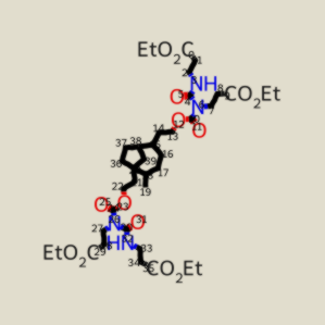 CCOC(=O)CCNC(=O)N(CCC(=O)OCC)C(=O)OCCC1CCC(C)C2(CCOC(=O)N(CCC(=O)OCC)C(=O)NCCC(=O)OCC)CCC1C2